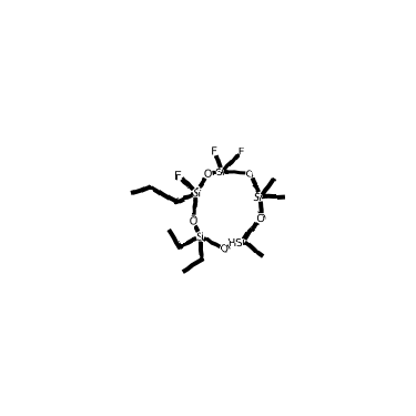 CCC[Si]1(F)O[Si](F)(F)O[Si](C)(C)O[SiH](C)O[Si](CC)(CC)O1